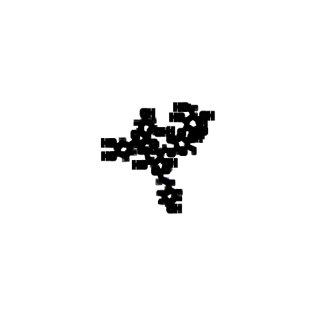 CC1OC(OC[C@@H]2OC(Oc3c(-c4ccc(O)c(O)c4)oc4cc(O)cc(O)c4c3=O)C(O)C(OC(=O)/C=C/c3ccc(O)cc3)C2O)C(O)C(OC2C(O)C(O)C(O)C(CO)C2O)C1O